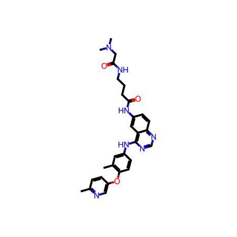 Cc1ccc(Oc2ccc(Nc3ncnc4ccc(NC(=O)CCCNC(=O)CN(C)C)cc34)cc2C)cn1